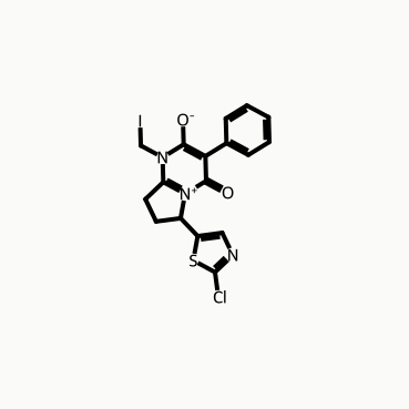 O=c1c(-c2ccccc2)c([O-])n(CI)c2[n+]1C(c1cnc(Cl)s1)CC2